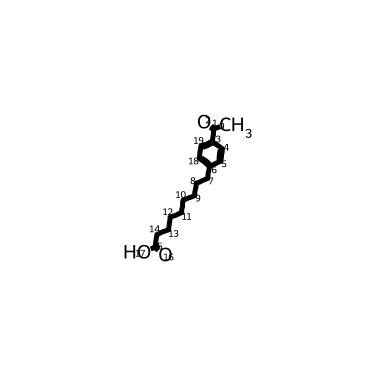 CC(=O)c1ccc(CCCCCCCCC(=O)O)cc1